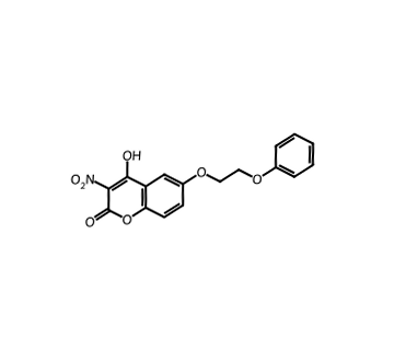 O=c1oc2ccc(OCCOc3ccccc3)cc2c(O)c1[N+](=O)[O-]